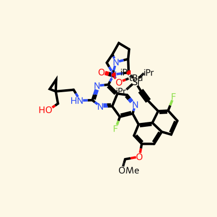 COCOc1cc(-c2ncc3c(N4CC5CCC(C4)N5C(=O)OC(C)(C)C)nc(NCC4(CO)CC4)nc3c2F)c2c(C#C[Si](C(C)C)(C(C)C)C(C)C)c(F)ccc2c1